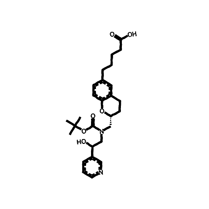 CC(C)(C)OC(=O)N(CC(O)c1cccnc1)C[C@H]1CCc2cc(CCCCC(=O)O)ccc2O1